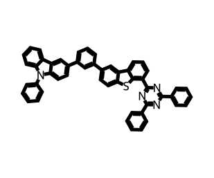 c1ccc(-c2nc(-c3ccccc3)nc(-c3cccc4c3sc3ccc(-c5cccc(-c6ccc7c(c6)c6ccccc6n7-c6ccccc6)c5)cc34)n2)cc1